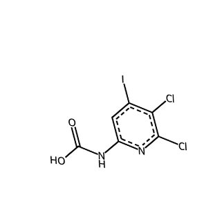 O=C(O)Nc1cc(I)c(Cl)c(Cl)n1